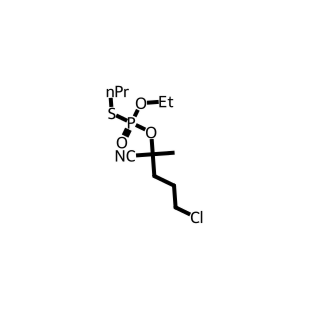 CCCSP(=O)(OCC)OC(C)(C#N)CCCCl